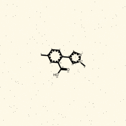 Cc1ccc(-c2cnn(C)c2)c(C(=O)O)c1